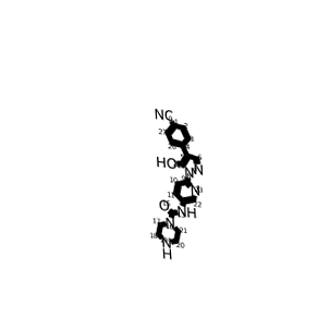 N#Cc1ccc(-c2cnn(-c3ccc(NC(=O)N4CCNCC4)cn3)c2O)cc1